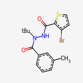 Cc1cccc(C(=O)N(NC(=O)c2sccc2Br)C(C)(C)C)c1